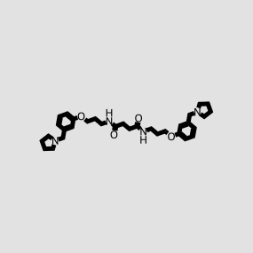 O=C(CCC(=O)NCCCOc1cccc(CN2CCCC2)c1)NCCCOc1cccc(CN2CCCC2)c1